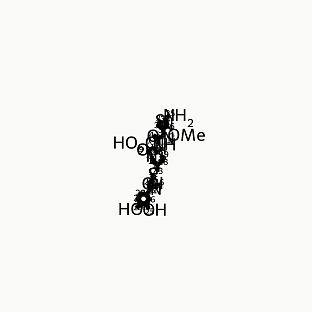 CON=C(C(=O)N[C@]1(C(=O)O)C(=O)N2C=C(CSc3nnc(-c4ccc(O)c(O)c4)o3)CS[C@H]21)c1csc(N)n1